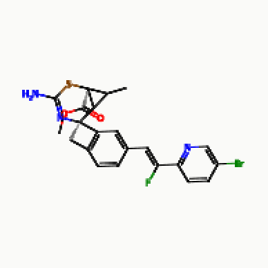 COC(=O)[C@@]12SC(N)=N[C@@]3(Cc4ccc(/C=C(\F)c5ccc(Br)cn5)cc43)C1C2C